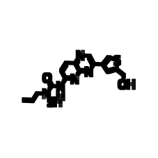 C=CCN(S)C(=O)Nc1ccc2ncc(-c3csc(CO)c3)nc2n1